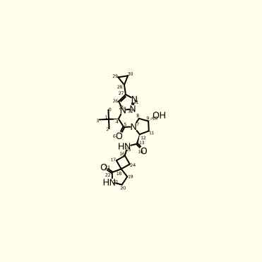 CC(C)(C)[C@H](C(=O)N1C[C@H](O)C[C@H]1C(=O)NC1CC2(CCNC2=O)C1)n1cc(C2CC2)nn1